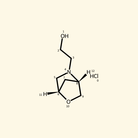 Cl.OCCN1C[C@@H]2C[C@H]1CO2